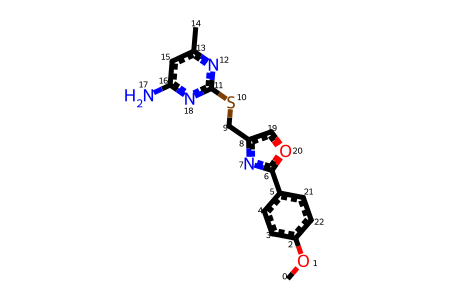 COc1ccc(-c2nc(CSc3nc(C)cc(N)n3)co2)cc1